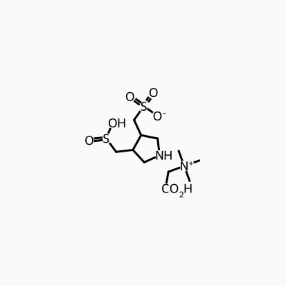 C[N+](C)(C)CC(=O)O.O=S(O)CC1CNCC1CS(=O)(=O)[O-]